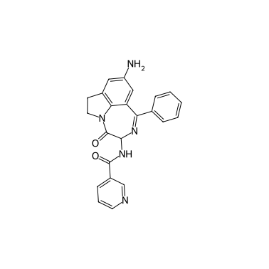 Nc1cc2c3c(c1)C(c1ccccc1)=NC(NC(=O)c1cccnc1)C(=O)N3CC2